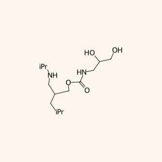 CC(C)CC(CNC(C)C)COC(=O)NCC(O)CO